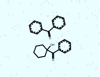 O=C(c1ccccc1)C1(O)CCCCC1.O=C(c1ccccc1)c1ccccc1